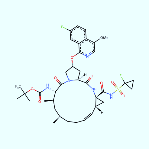 COc1cnc(O[C@@H]2C[C@H]3C(=O)N[C@]4(C(=O)NS(=O)(=O)C5(F)CC5)C[C@@H]4/C=C\CC[C@@H](C)C[C@@H](C)[C@H](NC(=O)OC(C)(C)C(F)(F)F)C(=O)N3C2)c2cc(F)ccc12